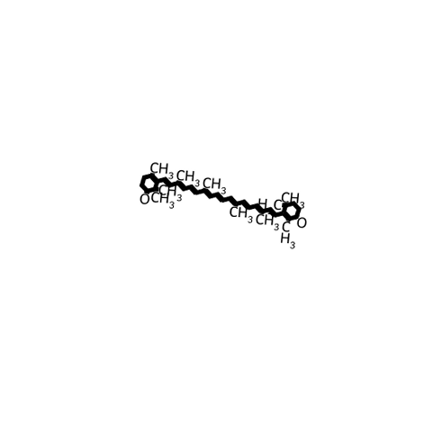 CC1=C(/C=C/C(C)=C/C=C/C(C)=C/C=C/C=C(C)/C=C/C=C(C)/C=C/C2=C(C)C(=O)CCC2(C)C)C(C)(C)C(=O)CC1